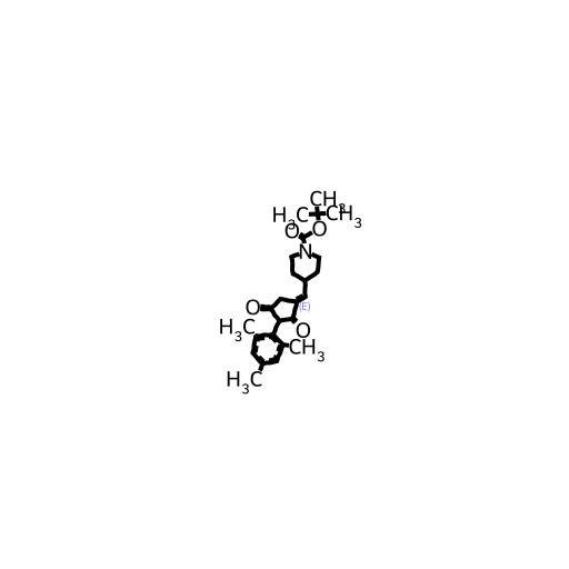 Cc1cc(C)c(C2C(=O)C/C(=C\C3CCN(C(=O)OC(C)(C)C)CC3)C2=O)c(C)c1